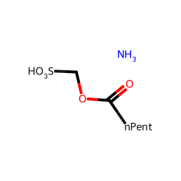 CCCCCC(=O)OCS(=O)(=O)O.N